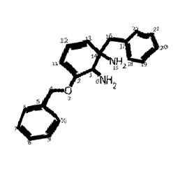 NC1C(OCc2ccccc2)=CC=CC1(N)Cc1ccccc1